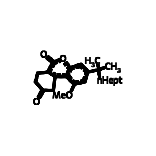 CCCCCCCC(C)(C)c1cc(OC)c2c3c(c(=O)oc2c1)CCC(=O)C3